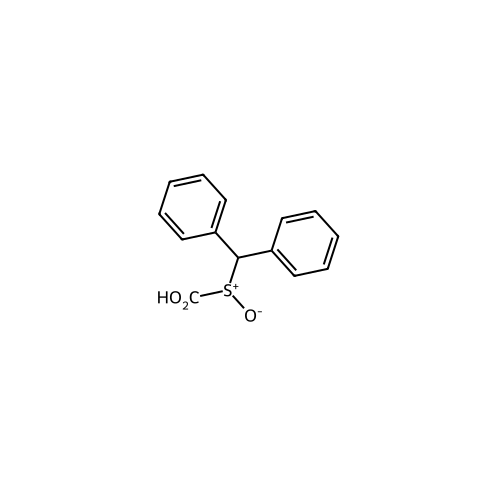 O=C(O)[S+]([O-])C(c1ccccc1)c1ccccc1